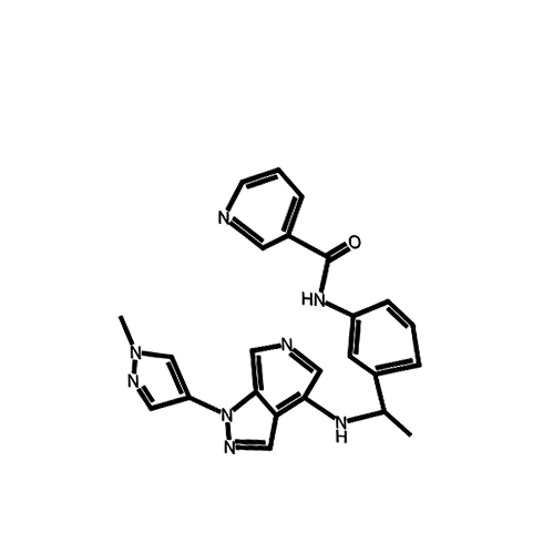 CC(Nc1cncc2c1cnn2-c1cnn(C)c1)c1cccc(NC(=O)c2cccnc2)c1